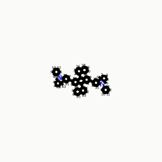 CC12CCCC1(C)N(c1ccccc1)c1ccc(-c3ccc4c(-c5cccc6ccccc56)c5cc(-c6ccc7c(c6)C6(C)CCCC6(C)N7c6ccccc6)ccc5c(-c5cccc6ccccc56)c4c3)cc12